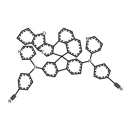 N#Cc1ccc(N(c2cccnc2)c2ccc3c(c2)C2(c4cc(N(c5ccc(C#N)cc5)c5cccnc5)ccc4-3)c3ccc4c(oc5ccccc54)c3-c3cccc4cccc2c34)cc1